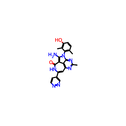 Cc1nc2c3c(c(N)n(-c4c(C)ccc(O)c4C)c3n1)C(=O)NC(c1ccnnc1)=C2